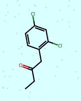 CCC(=O)Cc1ccc(Cl)cc1Cl